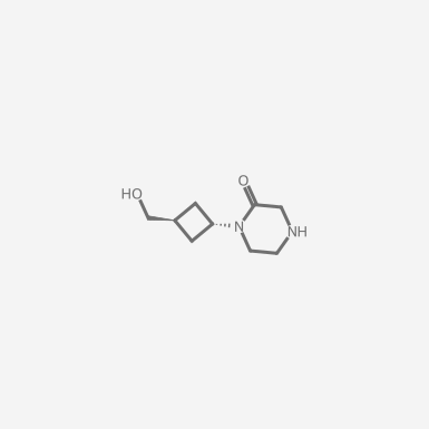 O=C1CNCCN1[C@H]1C[C@H](CO)C1